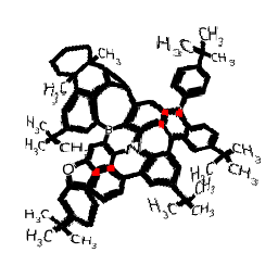 CC(C)(C)c1ccc(N(c2ccc(C(C)(C)C)cc2)c2cc3c4c(c2)N(c2c(-c5ccccc5)cc(C(C)(C)C)cc2-c2ccccc2)c2cc5c(cc2B4c2cc(C(C)(C)C)cc4c2C2C3C2C2(C)CCCCC42C)oc2cc(C(C)(C)C)ccc25)cc1